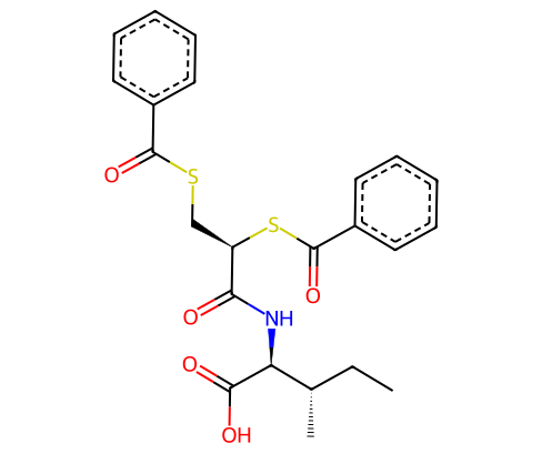 CC[C@H](C)[C@H](NC(=O)[C@@H](CSC(=O)c1ccccc1)SC(=O)c1ccccc1)C(=O)O